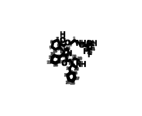 CC(=O)NCCOC[C@@]1(O)CCCC[C@@H]1n1cnc(C(=O)N2CCNC[C@H]2Cc2ccccc2)c1-c1ccccc1.O=C(O)C(F)(F)F